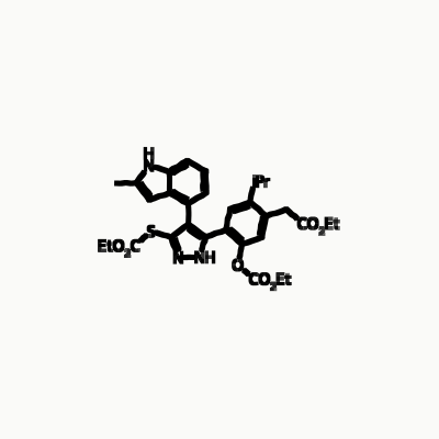 CCOC(=O)Cc1cc(OC(=O)OCC)c(-c2[nH]nc(SC(=O)OCC)c2-c2cccc3[nH]c(C)cc23)cc1C(C)C